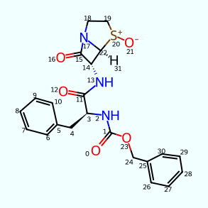 O=C(N[C@@H](Cc1ccccc1)C(=O)N[C@@H]1C(=O)N2CC[S+]([O-])[C@@H]12)OCc1ccccc1